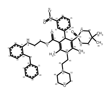 CC1=C(C(=O)OCCNc2ccccc2Cc2ccccc2)C(c2cccc([N+](=O)[O-])c2)C(P2(=O)OCC(C)(C)CO2)=C(C)N1CCN1CCOCC1